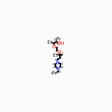 CCC(OCCOC(C)(CC)CCN1CCN(CC(C)C)CC1)C(O)C(C)C